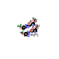 [2H]C([2H])([2H])Oc1ccnc(C[S@+]([O-])c2nc3cc(OC(F)F)ccc3[nH]2)c1OC.[2H]C([2H])([2H])Oc1ccnc(C[S@+]([O-])c2nc3cc(OC(F)F)ccc3[nH]2)c1OC.[MgH2]